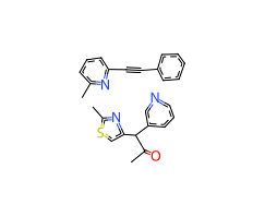 CC(=O)C(c1cccnc1)c1csc(C)n1.Cc1cccc(C#Cc2ccccc2)n1